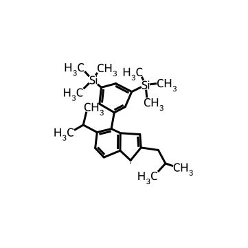 CC(C)CC1=Cc2c(ccc(C(C)C)c2-c2cc([Si](C)(C)C)cc([Si](C)(C)C)c2)[CH]1